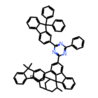 CCC1CC2CC(C)C3(c4ccccc4-c4cc(-c5nc(-c6ccccc6)nc(-c6ccc7c(c6)C(c6ccccc6)(c6ccccc6)c6ccccc6-7)n5)cc(-c5ccc6c(c5)C(C)(C)c5ccccc5-6)c43)C(C1)C2